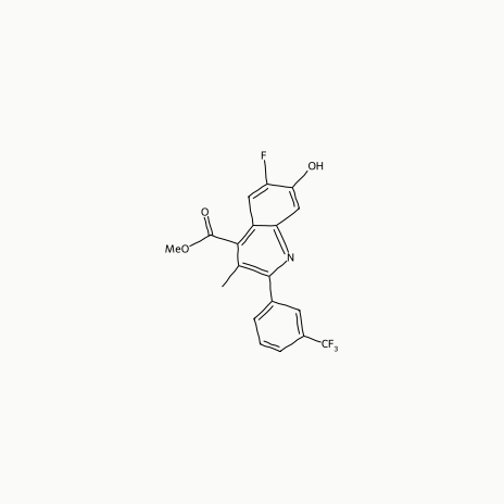 COC(=O)c1c(C)c(-c2cccc(C(F)(F)F)c2)nc2cc(O)c(F)cc12